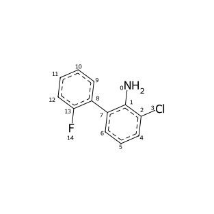 Nc1c(Cl)cccc1-c1ccccc1F